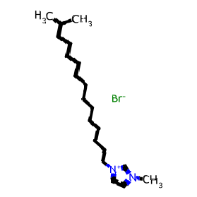 CC(C)CCCCCCCCCCCCC[n+]1ccn(C)c1.[Br-]